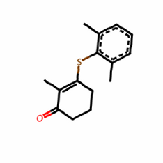 CC1=C(Sc2c(C)cccc2C)CCCC1=O